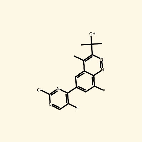 Cc1c(C(C)(C)O)nnc2c(F)cc(-c3nc(Cl)ncc3F)cc12